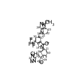 Cn1cnnc1CC1(c2cccc(N3Cc4c(cc(CN5CCCc6c5cnn6C)cc4C(F)(F)F)C3=O)c2)COC1